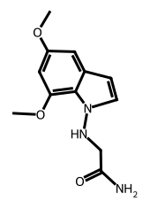 COc1cc(OC)c2c(ccn2NCC(N)=O)c1